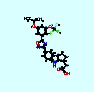 CC(C)Oc1cc(OC(F)(F)F)cc(-c2nc(-c3ccc4[nH]c5c(c4c3)CCC5CC(=O)O)no2)c1